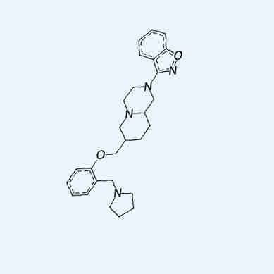 c1ccc(OCC2CCC3CN(c4noc5ccccc45)CCN3C2)c(CN2CCCC2)c1